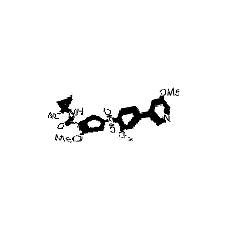 COc1cncc(-c2ccc(S(=O)(=O)[C@H]3C[C@@H](OC)[C@H](C(=O)NC4(C#N)CC4)C3)c(C(F)(F)F)c2)c1